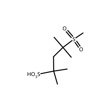 CC(C)(CC(C)(C)S(=O)(=O)O)S(C)(=O)=O